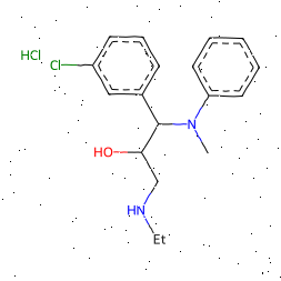 CCNCC(O)C(c1cccc(Cl)c1)N(C)c1ccccc1.Cl